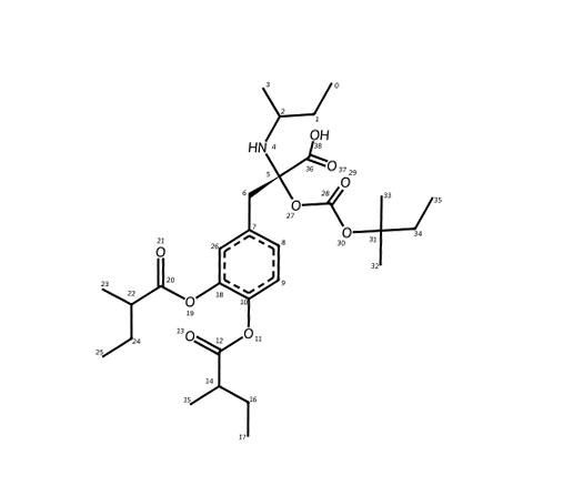 CCC(C)N[C@@](Cc1ccc(OC(=O)C(C)CC)c(OC(=O)C(C)CC)c1)(OC(=O)OC(C)(C)CC)C(=O)O